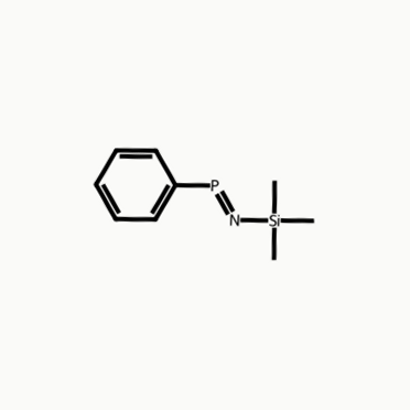 C[Si](C)(C)N=Pc1ccccc1